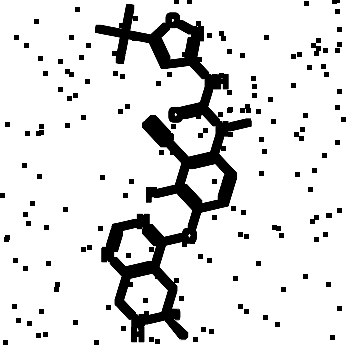 C#Cc1c(N(C)C(=O)Nc2cc(C(C)(C)C)on2)ccc(Oc2ncnc3c2C[C@@H](C)NC3)c1F